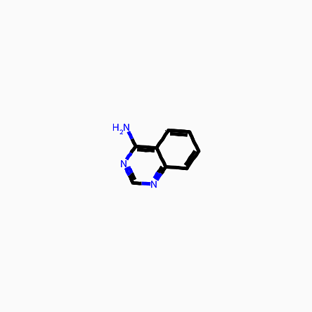 Nc1ncnc2ccc[c]c12